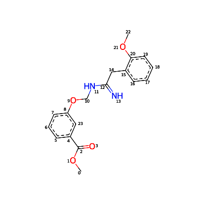 COC(=O)c1cccc(OCNC(=N)Cc2ccccc2OC)c1